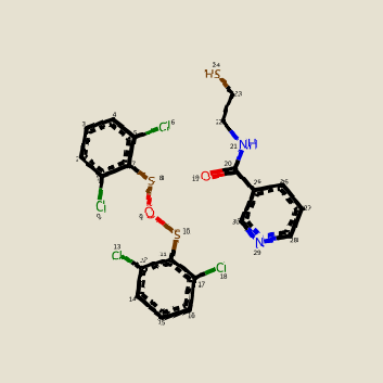 Clc1cccc(Cl)c1SOSc1c(Cl)cccc1Cl.O=C(NCCS)c1cccnc1